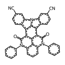 N#Cc1ccc2c3c4c(=O)n(-c5ccccc5)c5cccc6c5c4c(c(=O)n6-c4ccccc4)c4c5ccc(C#N)cc5n(c2c1)c34